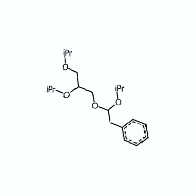 CC(C)OCC(COC(Cc1ccccc1)OC(C)C)OC(C)C